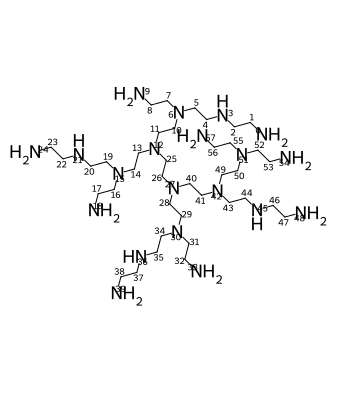 NCCNCCN(CCN)CCN(CCN(CCN)CCNCCN)CCN(CCN(CCN)CCNCCN)CCN(CCNCCN)CCN(CCN)CCN